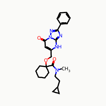 CN(CCC1CC1)C(=O)C1(OCc2cc(=O)n3nc(-c4ccccc4)nc3[nH]2)CCCCC1